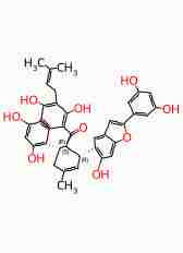 CC(C)=CCc1c(O)ccc(C(=O)[C@@H]2[C@@H](c3ccc(O)cc3O)CC(C)=C[C@H]2c2cc3cc(-c4cc(O)cc(O)c4)oc3cc2O)c1O